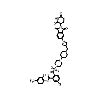 O=C1CCC(N2C(=O)c3ccc(N4CC(CN5CCC(N6CCN(S(=O)(=O)Nc7ccc(Cl)cc7C(=O)Nc7ccc(C(F)(F)F)cc7Cl)CC6)CC5)C4)cc3C2=O)C(=O)N1